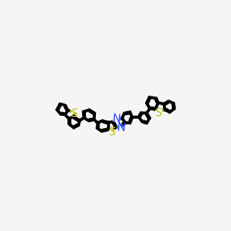 c1cc(-c2ccc3nc4c(nc3c2)sc2ccc(-c3cccc(-c5cccc6c5sc5ccccc56)c3)cc24)cc(-c2cccc3c2sc2ccccc23)c1